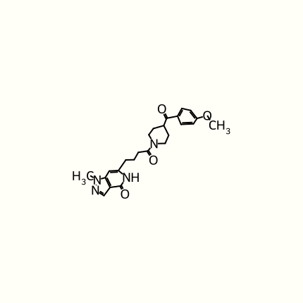 COc1ccc(C(=O)C2CCN(C(=O)CCCc3cc4c(cnn4C)c(=O)[nH]3)CC2)cc1